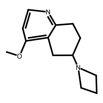 COc1ccnc2c1CC(N1CCC1)CC2